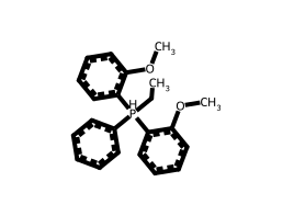 CC[PH](c1ccccc1)(c1ccccc1OC)c1ccccc1OC